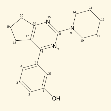 Oc1cccc(-c2nc(N3CCCCC3)nc3c2CCC3)c1